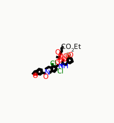 CCOC(=O)CCC(=O)OC(C)OC(=O)C(Cc1cccc(S(C)(=O)=O)c1)NC(=O)c1c(Cl)cc2c(c1Cl)CCN(C(=O)c1ccc3ccoc3c1)C2